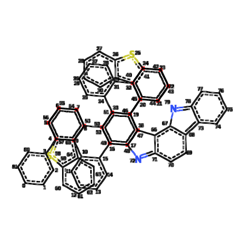 c1ccc(-c2ccccc2-c2ccccc2-c2c3c(c(-c4cccc5sc6ccccc6c45)c(-c4ccccc4-c4ccccc4-c4ccccc4)c2-c2cccc4sc5ccccc5c24)-c2c4c(ccc2=N3)=c2ccccc2=N4)cc1